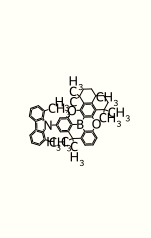 Cc1cccc2c3cccc(C)c3n(-c3cc4c5c(c3)C(C)(C)c3cccc6c3B5c3c(c5c7c(c3O4)C(C)(C)CCC7(C)CCC5(C)C)O6)c12